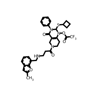 Cc1cc2cccc(CNCCC(=O)N3CCC4=C(C3)C(=O)N(c3ccccc3)C(SC3CCC3)N4OC(=O)C(F)(F)F)c2o1